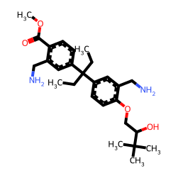 CCC(CC)(c1ccc(OCC(O)C(C)(C)C)c(CN)c1)c1ccc(C(=O)OC)c(CN)c1